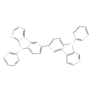 c1ccc(-n2c3ccc(-c4ccc5c(c4)c4cccnc4n5-c4ccccc4)cc3c3ccncc32)cc1